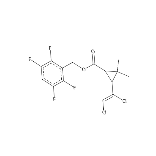 CC1(C)C(C(=O)OCc2c(F)c(F)cc(F)c2F)C1C(Cl)=CCl